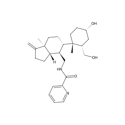 C=C1CC[C@H]2[C@H](CNC(=O)c3ccccn3)[C@@H]([C@]3(C)CC[C@H](O)C[C@@H]3CO)CC[C@]12C